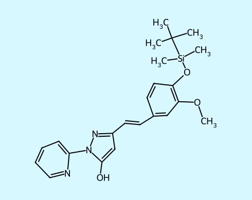 COc1cc(/C=C/c2cc(O)n(-c3ccccn3)n2)ccc1O[Si](C)(C)C(C)(C)C